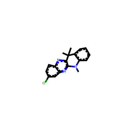 CN1c2ccccc2C(C)(C)c2nc3ccc(Cl)cc3nc21